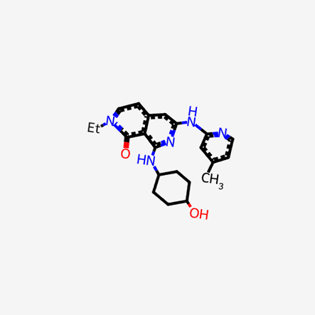 CCn1ccc2cc(Nc3cc(C)ccn3)nc(NC3CCC(O)CC3)c2c1=O